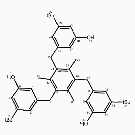 Cc1c(Cc2cc(O)cc(C(C)(C)C)c2)c(C)c(Cc2cc(O)cc(C(C)(C)C)c2)c(C)c1Cc1cc(O)cc(C(C)(C)C)c1